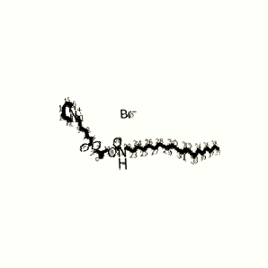 C=C(COC(=O)CCCCC[n+]1ccccc1)COC(=O)NCCCCCCCCCCCCCCCCCC.[Br-]